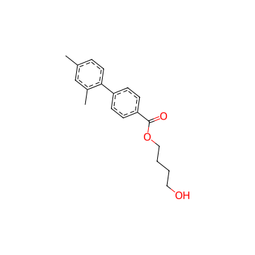 Cc1ccc(-c2ccc(C(=O)OCCCCO)cc2)c(C)c1